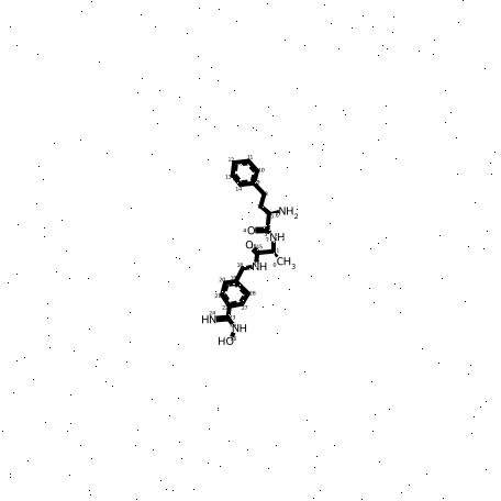 C[C@H](NC(=O)[C@H](N)CCc1ccccc1)C(=O)NCc1ccc(C(=N)NO)cc1